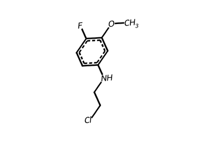 COc1cc(NCCCl)ccc1F